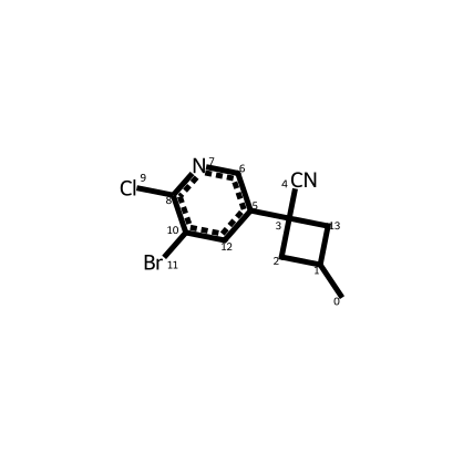 CC1CC(C#N)(c2cnc(Cl)c(Br)c2)C1